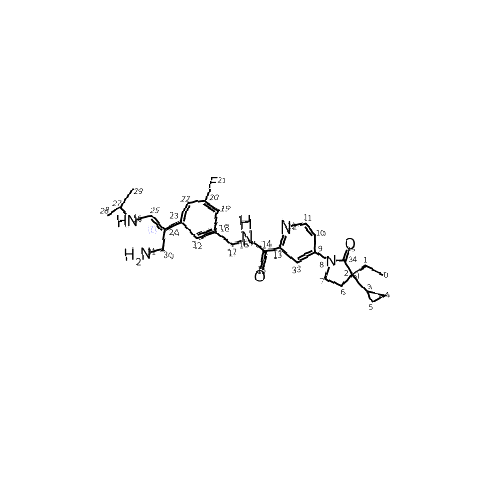 CC[C@@]1(C2CC2)CCN(c2ccnc(C(=O)NCc3cc(F)cc(/C(=C/NC(C)C)CN)c3)c2)C1=O